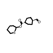 O=C[C@H]1CC[C@H](C(=O)OC2CCCCS2)CC1